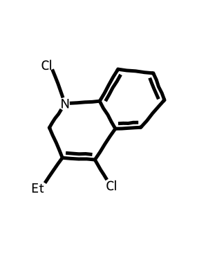 CCC1=C(Cl)c2ccccc2N(Cl)C1